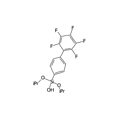 CC(C)O[Si](O)(OC(C)C)c1ccc(-c2c(F)c(F)c(F)c(F)c2F)cc1